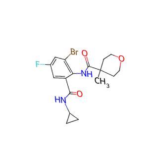 CC1(C(=O)Nc2c(Br)cc(F)cc2C(=O)NC2CC2)CCOCC1